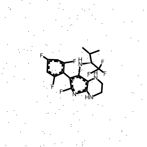 CC(C)[C@H](Nc1c2c(nc(F)c1-c1c(F)cc(F)cc1F)NCCN2)C(F)(F)F